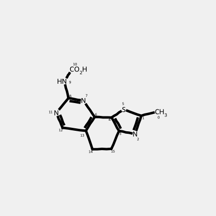 Cc1nc2c(s1)-c1nc(NC(=O)O)ncc1CC2